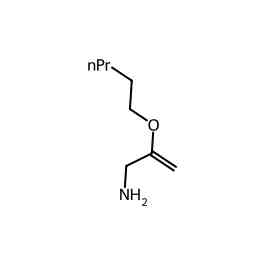 C=C(CN)OCCCCC